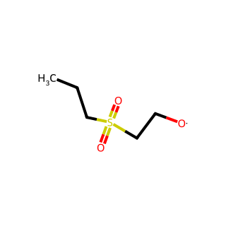 CCCS(=O)(=O)CC[O]